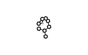 c1ccc(-c2cc(-c3ccccc3)cc(-c3cccc(-c4ccc5ccc6ccc7c8ccccc8sc7c6c5c4)c3)c2)cc1